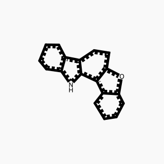 c1ccc2c(c1)[nH]c1c2ccc2oc3ccccc3c21